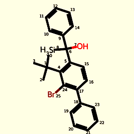 CC(C)(C)c1c(C(O)([SiH3])c2ccccc2)ccc(-c2ccccc2)c1Br